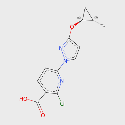 C[C@H]1C[C@@H]1Oc1ccn(-c2ccc(C(=O)O)c(Cl)n2)n1